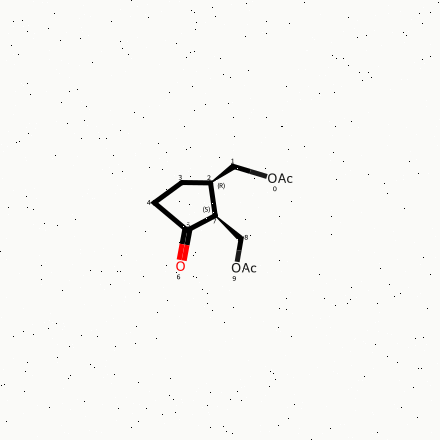 CC(=O)OC[C@@H]1CCC(=O)[C@@H]1COC(C)=O